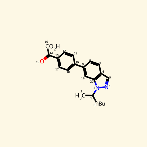 CCCCC(C)n1ncc2ccc(-c3ccc(C(=O)C(=O)O)cc3)cc21